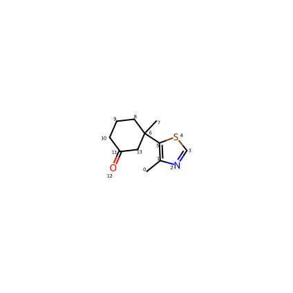 Cc1ncsc1C1(C)CCCC(=O)C1